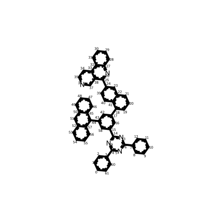 c1ccc(-c2nc(-c3ccccc3)nc(-c3cc(-c4cccc5cc(-c6nc7ccccc7c7ccncc67)ccc45)cc(-c4c5ccccc5cc5ccccc45)c3)n2)cc1